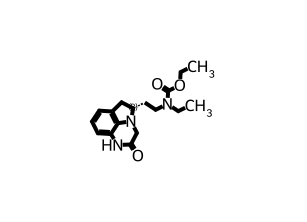 CCOC(=O)N(CC)CC[C@H]1Cc2cccc3c2N1CC(=O)N3